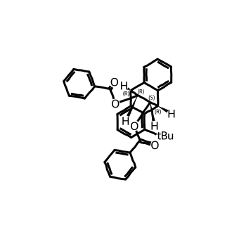 CC(C)(C)c1cccc2c1[C@H]1c3ccccc3[C@H]2[C@@H](OC(=O)c2ccccc2)[C@H]1OC(=O)c1ccccc1